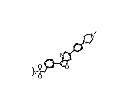 CN1CCN(c2ccc(-c3cnc4c(-c5cccc(CS(=O)(=O)N(C)C)c5)coc4c3)cc2)CC1